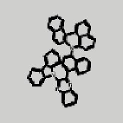 c1ccc2c3c(ccc2c1)N(c1ccc(-c2nc4ccccc4nc2-n2c4ccccc4c4ccccc42)c2ccccc12)c1cccc2cccc-3c12